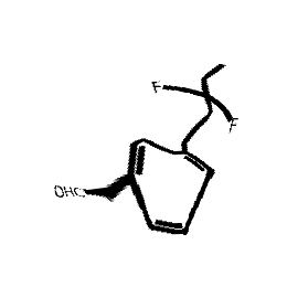 CC(F)(F)c1cccc(C=O)c1